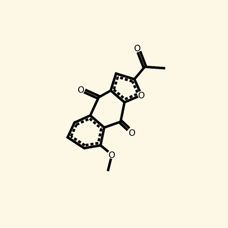 COc1cccc2c1C(=O)c1oc(C(C)=O)cc1C2=O